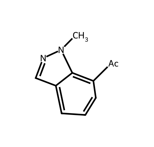 CC(=O)c1cccc2cnn(C)c12